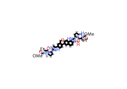 CCC(NC(=O)OC)C(=O)N1[C@@H](C)CC[C@H]1c1ncc(-c2ccc3c(c2)COc2cc4c(ccc5nc([C@@H]6CC[C@H](C)N6C(O)[C@@H](NC(=O)OC)C(C)C)[nH]c54)cc2-3)[nH]1